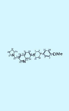 COc1ccc(C2CCN(c3ccc4cc(CN5CCCC5)cnc4c3)CC2)cc1